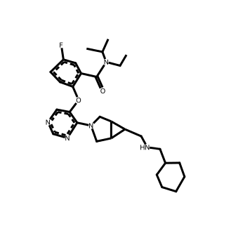 CCN(C(=O)c1cc(F)ccc1Oc1cncnc1N1CC2C(CNCC3CCCCC3)C2C1)C(C)C